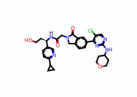 O=C(CN1Cc2ccc(-c3nc(NC4CCOCC4)ncc3Cl)cc2C1=O)N[C@H](CCO)c1ccc(C2CC2)nc1